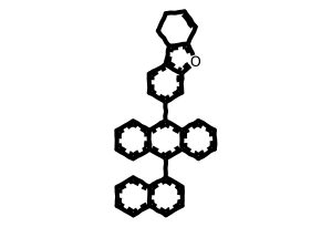 C1=Cc2oc3cc(-c4c5ccccc5c(-c5cccc6ccccc56)c5ccccc45)ccc3c2CC1